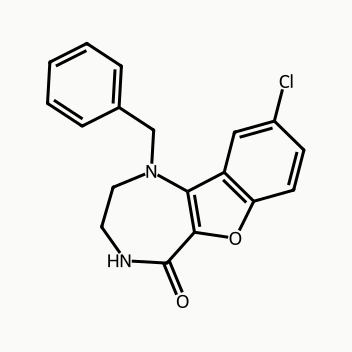 O=C1NCCN(Cc2ccccc2)c2c1oc1ccc(Cl)cc21